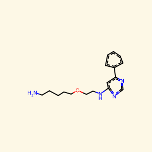 NCCCCCOCCNc1cc(-c2ccccc2)ncn1